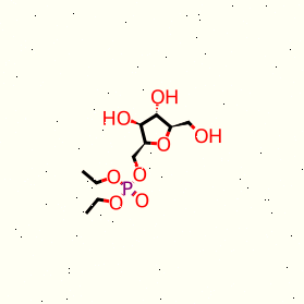 CCOP(=O)(OCC)OC[C@@H]1O[C@H](CO)[C@@H](O)[C@@H]1O